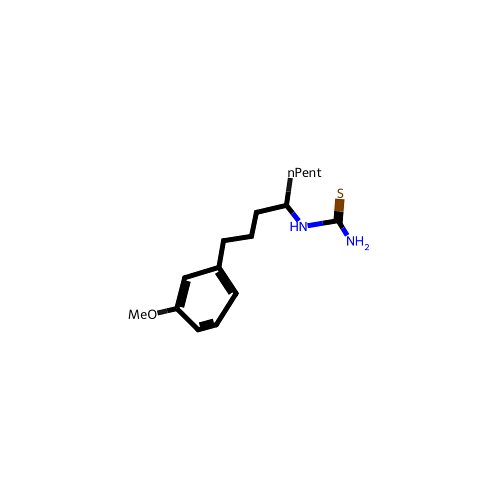 CCCCCC(CCCc1cccc(OC)c1)NC(N)=S